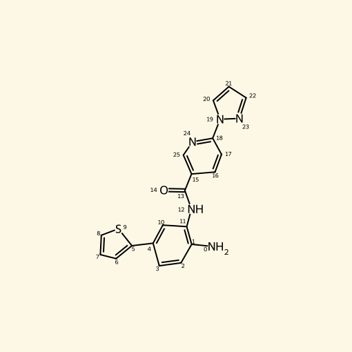 Nc1ccc(-c2cccs2)cc1NC(=O)c1ccc(-n2cccn2)nc1